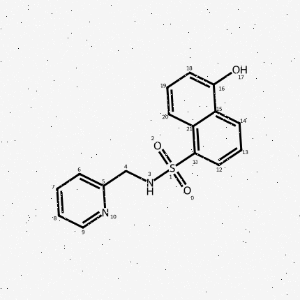 O=S(=O)(NCc1ccccn1)c1cccc2c(O)cccc12